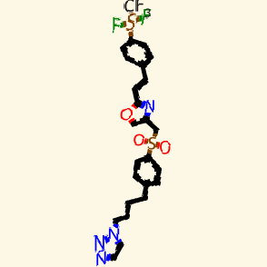 O=S(=O)(Cc1coc(C=Cc2ccc(S(F)(F)C(F)(F)F)cc2)n1)c1ccc(CCCCn2ccnn2)cc1